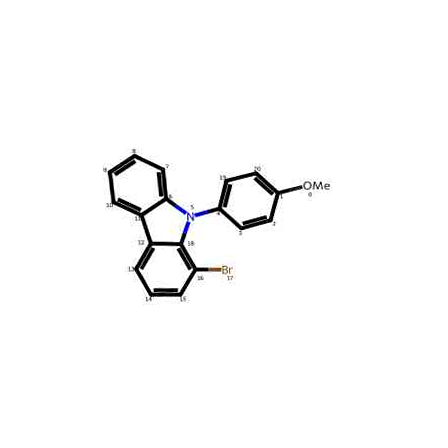 COc1ccc(-n2c3ccccc3c3cccc(Br)c32)cc1